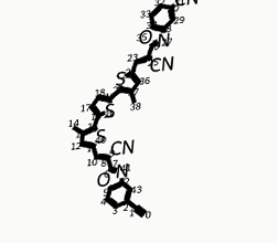 C#Cc1ccc2oc(/C(C#N)=C/c3cc(C)c(-c4ccc(-c5sc(/C=C(\C#N)c6nc7cc(C#N)ccc7o6)cc5C)s4)s3)nc2c1